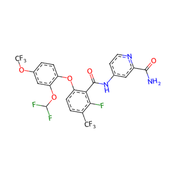 NC(=O)c1cc(NC(=O)c2c(Oc3ccc(OC(F)(F)F)cc3OC(F)F)ccc(C(F)(F)F)c2F)ccn1